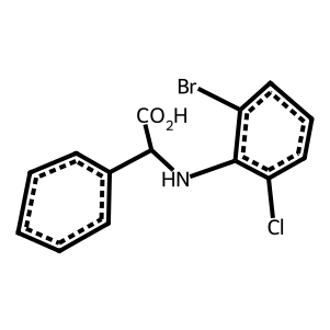 O=C(O)C(Nc1c(Cl)cccc1Br)c1ccccc1